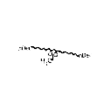 C=CC(=O)OC(CCCCCCCCCCCCCCCCCC)CCCCCCCCCCCCCCCCCCC